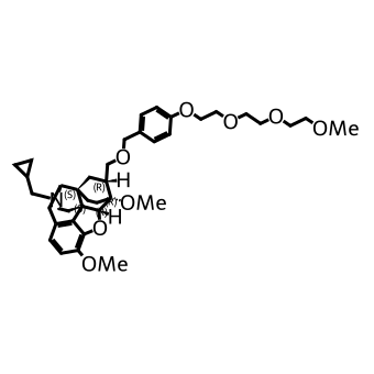 COCCOCCOCCOc1ccc(COC[C@H]2C[C@@]34CC[C@]2(OC)[C@@H]2Oc5c(OC)ccc6c5[C@@]23CCN(CC2CC2)C4C6)cc1